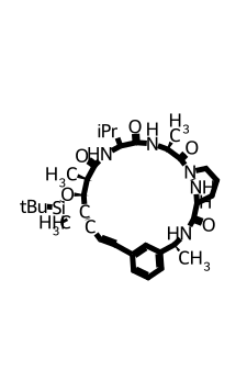 CC(C)C1NC(=O)[C@H](C)[C@H](O[SiH](C)C(C)(C)C)CC/C=C/c2cccc(c2)[C@@H](C)NC(=O)[C@@H]2CCCN(N2)C(=O)[C@H](C)NC1=O